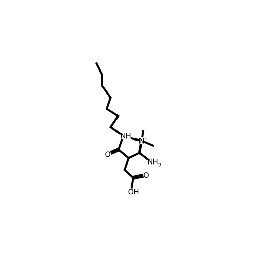 CCCCCCCNC(=O)C(CC(=O)O)C(N)[N+](C)(C)C